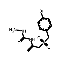 C=C(CS(=O)(=O)Cc1ccc(Br)cc1)NC(=O)NN